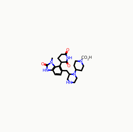 Cn1c(=O)[nH]c2ccc(CC3CNCCN3C3CCN(C(=O)O)CC3)c(C3CCC(=O)NC3=O)c21